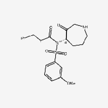 COc1cccc(S(=O)(=O)N(C(=O)[CH]CC(C)C)[C@H]2CCCNCC2=O)c1